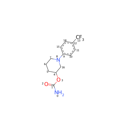 NC(=O)OC1CCCN(c2ccc(C(F)(F)F)cc2)C1